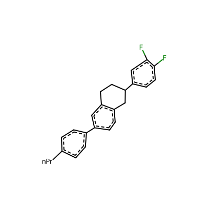 CCCc1ccc(-c2ccc3c(c2)CCC(c2ccc(F)c(F)c2)C3)cc1